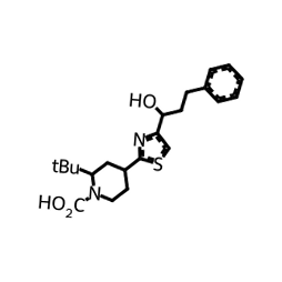 CC(C)(C)C1CC(c2nc(C(O)CCc3ccccc3)cs2)CCN1C(=O)O